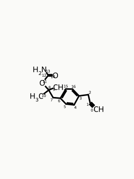 C#CCc1ccc(CC(C)(C)OC(N)=O)cc1